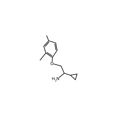 Cc1ccc(OCC(N)C2CC2)c(C)c1